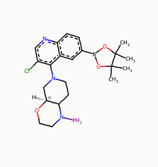 CC1(C)OB(c2ccc3ncc(Cl)c(N4CCC5[C@H](C4)OCCN5P)c3c2)OC1(C)C